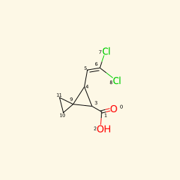 O=C(O)C1C(C=C(Cl)Cl)C12CC2